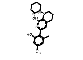 Cc1cc(C(F)(F)F)cc(O)c1-c1cc2c(nn1)N([C@@H]1CCCC[C@H]1O)CCC2